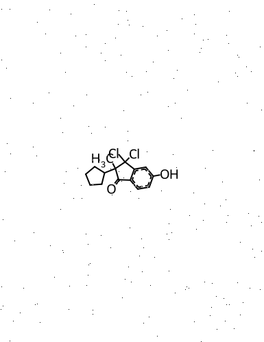 CC1(C2CCCC2)C(=O)c2ccc(O)cc2C1(Cl)Cl